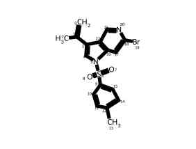 C=C(C)c1cn(S(=O)(=O)c2ccc(C)cc2)c2cc(Br)ncc12